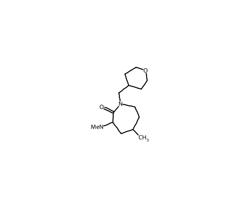 CNC1CC(C)CCN(CC2CCOCC2)C1=O